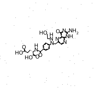 Nc1nc(=O)c2nc(CN(NCCO)c3ccc(C(=O)N[C@@H](CCC(=O)O)C(=O)O)cc3)cnc2[nH]1